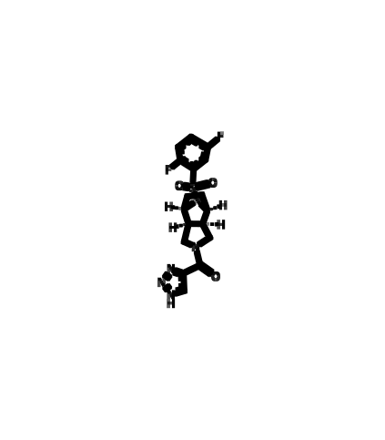 O=C(c1c[nH]nn1)N1C[C@@H]2[C@H](C1)[C@@H]1CC[C@H]2N1S(=O)(=O)c1cc(F)ccc1F